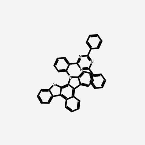 c1ccc(-c2nc(-c3ccccc3)nc(-c3ccccc3-n3c4ccccc4c4c5ccccc5c5c6ccccc6sc5c43)n2)cc1